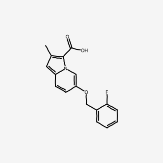 Cc1cc2ccc(OCc3ccccc3F)cn2c1C(=O)O